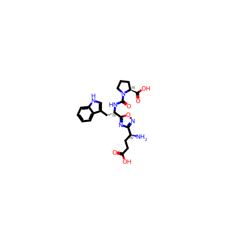 N[C@@H](CCC(=O)O)c1noc([C@H](Cc2c[nH]c3ccccc23)NC(=O)N2CCC[C@H]2C(=O)O)n1